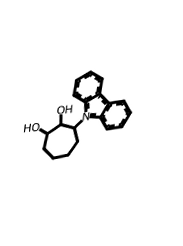 OC1CCCCC(n2c3ccccc3c3ccccc32)C1O